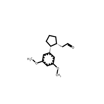 COc1cc(OC)cc([C@@H]2CCC[C@@H]2CC=O)c1